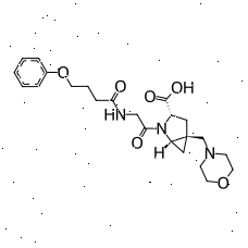 O=C(CCCOc1ccccc1)NCC(=O)N1[C@H]2C[C@@]2(CN2CCOCC2)C[C@H]1C(=O)O